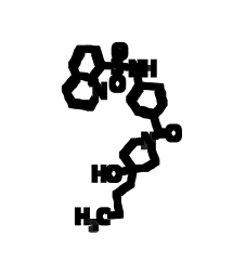 CCCCC1(O)CCN(C(=O)c2ccc(NS(=O)(=O)c3cccc4cccnc34)cc2)CC1